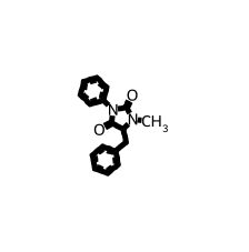 CN1C(=O)N(c2ccccc2)C(=O)C1Cc1ccccc1